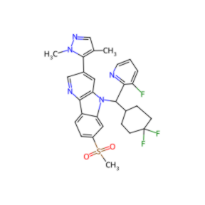 Cc1cnn(C)c1-c1cnc2c3ccc(S(C)(=O)=O)cc3n(C(c3ncccc3F)C3CCC(F)(F)CC3)c2c1